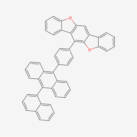 c1ccc2c(-c3c4ccccc4c(-c4ccc(-c5c6oc7ccccc7c6cc6oc7ccccc7c56)cc4)c4ccccc34)cccc2c1